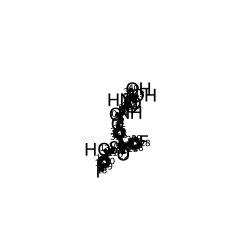 O=C(COc1ccc(C2C(SCC(O)c3ccc(F)cc3)C(=O)N2c2ccc(F)cc2)cc1)NCC(=O)N[C@H](CO)C(=O)O